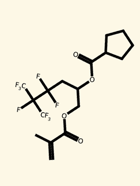 C=C(C)C(=O)OCC(CC(F)(F)C(F)(C(F)(F)F)C(F)(F)F)OC(=O)C1CCCC1